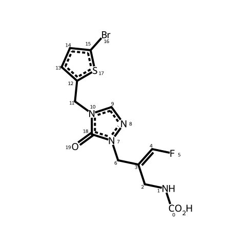 O=C(O)NCC(=CF)Cn1ncn(Cc2ccc(Br)s2)c1=O